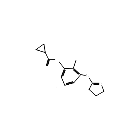 Cc1c(NC2=NCCC2)cccc1OC(=O)C1CC1.Cl